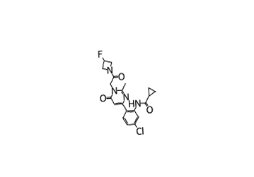 Cc1nc(-c2ccc(Cl)cc2NC(=O)C2CC2)cc(=O)n1CC(=O)N1CC(F)C1